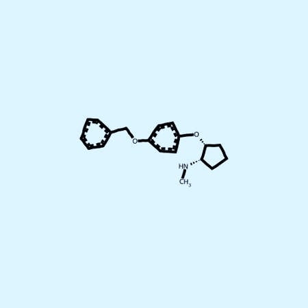 CN[C@H]1CCC[C@H]1Oc1ccc(OCc2ccccc2)cc1